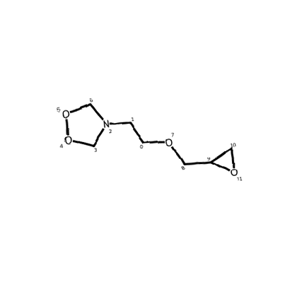 C(CN1COOC1)OCC1CO1